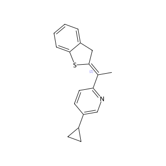 C/C(=C1\Cc2ccccc2S1)c1ccc(C2CC2)cn1